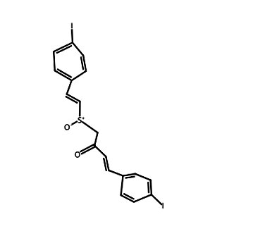 O=C(C=Cc1ccc(I)cc1)C[S+]([O-])C=Cc1ccc(I)cc1